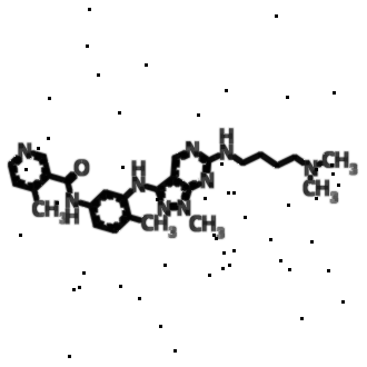 Cc1ccc(NC(=O)c2cnccc2C)cc1Nc1nn(C)c2nc(NCCCCN(C)C)ncc12